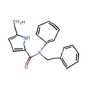 O=C(O)c1ccc(C(=O)N(Cc2ccccc2)c2ccccc2)[nH]1